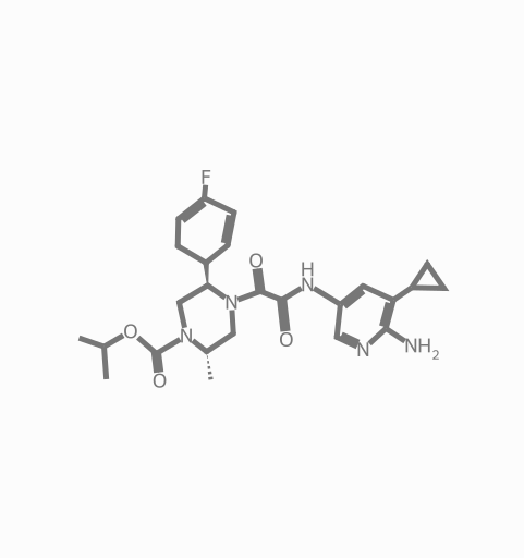 CC(C)OC(=O)N1C[C@@H](C2C=CC(F)=CC2)N(C(=O)C(=O)Nc2cnc(N)c(C3CC3)c2)C[C@@H]1C